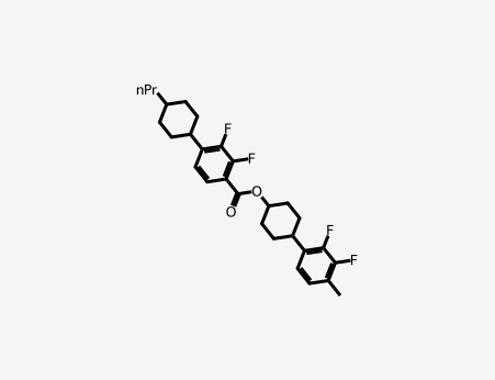 CCCC1CCC(c2ccc(C(=O)OC3CCC(c4ccc(C)c(F)c4F)CC3)c(F)c2F)CC1